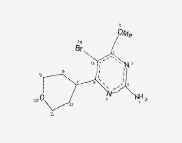 COc1nc(N)nc(C2CCOCC2)c1Br